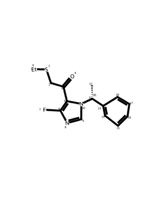 CCSCC(=O)c1c(F)ncn1[C@H](C)c1ccccc1